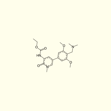 CCOC(=O)Nc1cc(-c2cc(OC)c(CN(C)C)c(OC)c2)cn(C)c1=O